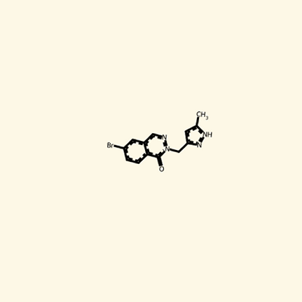 Cc1cc(Cn2ncc3cc(Br)ccc3c2=O)n[nH]1